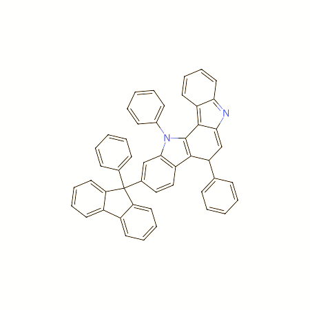 C1=C2N=c3ccccc3=C2c2c(c3ccc(C4(c5ccccc5)c5ccccc5-c5ccccc54)cc3n2-c2ccccc2)C1c1ccccc1